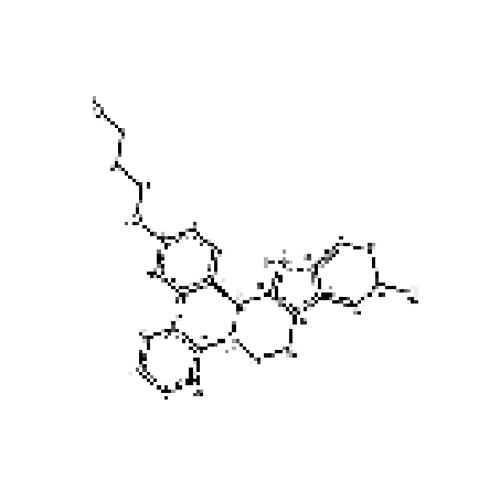 OCCCOc1ccc([C@H]2c3[nH]c4c(c3CCN2c2ncccn2)=CC(Cl)CC=4)cc1